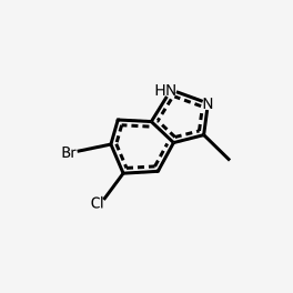 Cc1n[nH]c2cc(Br)c(Cl)cc12